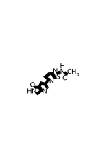 CC(=O)Nc1nc2ccc(-c3cnc4c(c3)C(=O)NC4)nc2s1